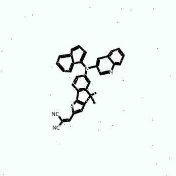 CC1(C)c2cc(N(c3cnc4ccccc4c3)c3cccc4ccccc34)ccc2-c2sc(C=C(C#N)C#N)cc21